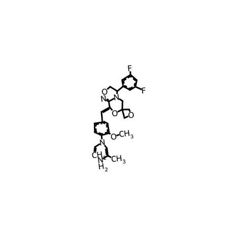 C=CN(/C=C(/C)N)c1ccc(/C=C2\OC3(COC3)CN3C2=NOCC3c2cc(F)cc(F)c2)cc1OC